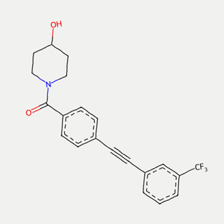 O=C(c1ccc(C#Cc2cccc(C(F)(F)F)c2)cc1)N1CCC(O)CC1